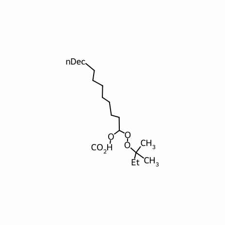 CCCCCCCCCCCCCCCCCC(OOC(C)(C)CC)OC(=O)O